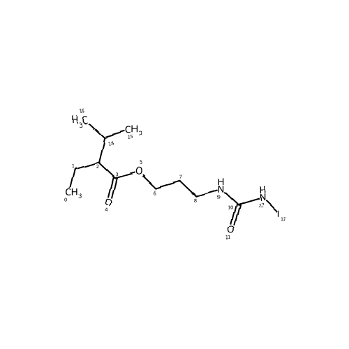 CCC(C(=O)OCCCNC(=O)NI)C(C)C